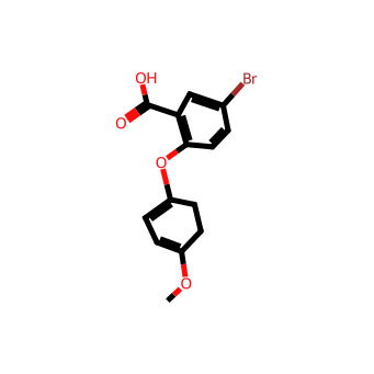 COC1=CC=C(Oc2ccc(Br)cc2C(=O)O)CC1